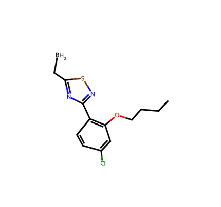 BCc1nc(-c2ccc(Cl)cc2OCCCC)ns1